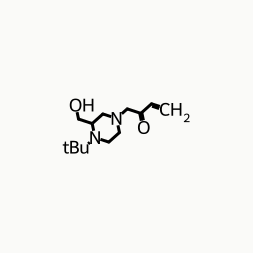 C=CC(=O)CN1CCN(C(C)(C)C)C(CO)C1